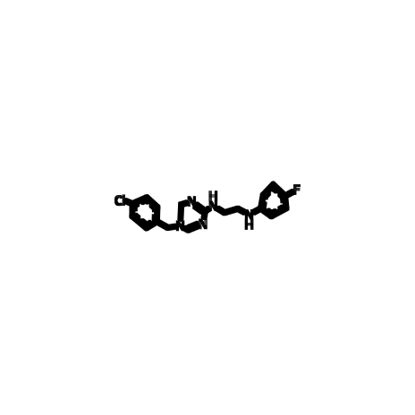 Fc1ccc(NCCNC2=NCN(Cc3ccc(Cl)cc3)C=N2)cc1